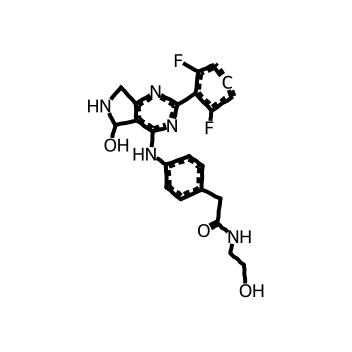 O=C(Cc1ccc(Nc2nc(-c3c(F)cccc3F)nc3c2C(O)NC3)cc1)NCCO